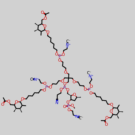 [C-]#[N+]CCOP(OCCCCCCO[C@@H]1OC(COC(C)=O)[C@H](C)[C@H](C)C1C)OCCCOCC(COCCCOP(OCCCCCCO[C@@H]1OC(COC(C)=O)[C@H](C)[C@H](C)C1C)OCC[N+]#[C-])(COCCCOP(OCCCCCCO[C@@H]1OC(COC(C)=O)[C@H](C)[C@H](C)C1C)OCC[N+]#[C-])COP(OCCC#N)OC[C@H]1O[C@@H](C)CC1OP(=O)(OC)OCC[N+]#[C-]